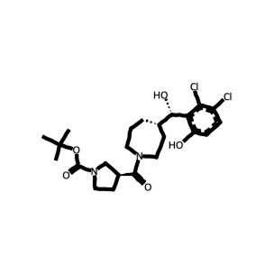 CC(C)(C)OC(=O)N1CC[C@H](C(=O)N2CCC[C@H]([C@H](O)c3c(O)ccc(Cl)c3Cl)CC2)C1